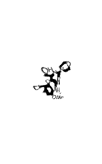 COc1ccc(Cl)c(Oc2c(N)nc(N3CCOCC3)nc2CO)c1